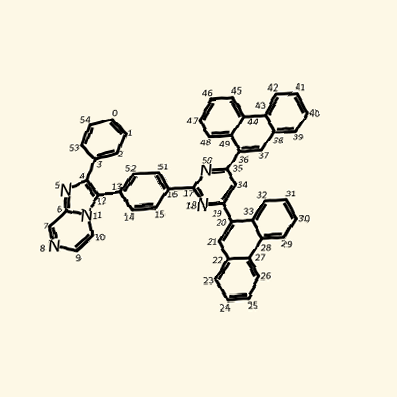 c1ccc(-c2nc3cnccn3c2-c2ccc(-c3nc(-c4cc5ccccc5c5ccccc45)cc(-c4cc5ccccc5c5ccccc45)n3)cc2)cc1